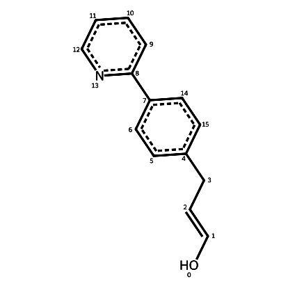 O/C=C/Cc1ccc(-c2ccccn2)cc1